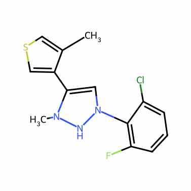 Cc1cscc1C1=CN(c2c(F)cccc2Cl)NN1C